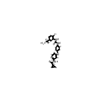 CC(F)(F)c1ccc(F)c(NC(=O)Nc2ccc(Oc3ccnc(NC(=O)C4CC4)c3)cc2)c1